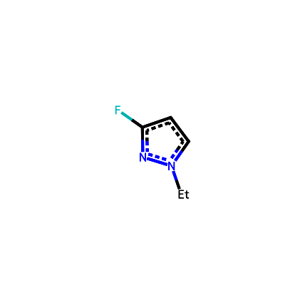 CCn1ccc(F)n1